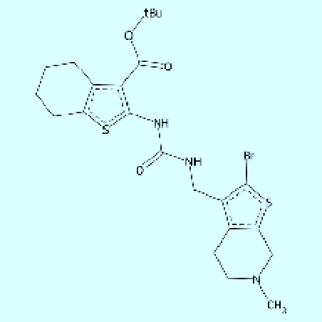 CN1CCc2c(sc(Br)c2CNC(=O)Nc2sc3c(c2C(=O)OC(C)(C)C)CCCC3)C1